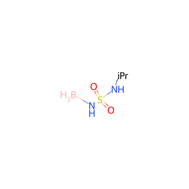 BNS(=O)(=O)NC(C)C